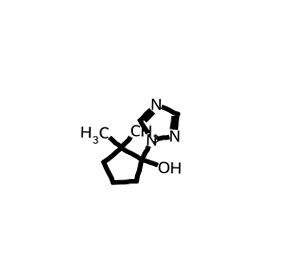 CC1(C)CCCC1(O)n1cncn1